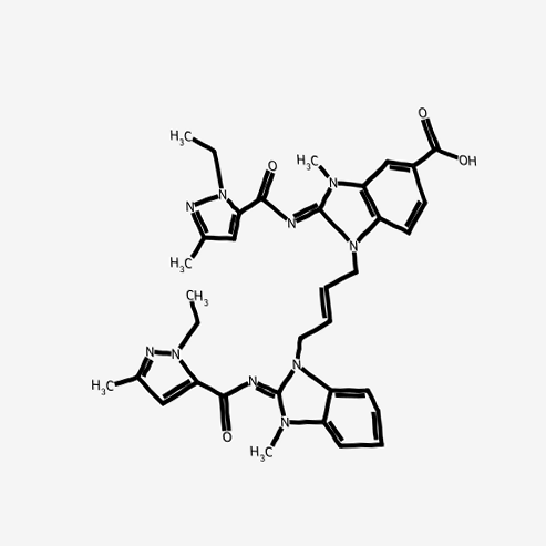 CCn1nc(C)cc1C(=O)/N=c1\n(C)c2ccccc2n1C/C=C/Cn1/c(=N/C(=O)c2cc(C)nn2CC)n(C)c2cc(C(=O)O)ccc21